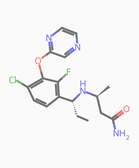 CC[C@@H](N[C@@H](C)CC(N)=O)c1ccc(Cl)c(Oc2cnccn2)c1F